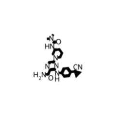 CN(C)C(=O)N[C@@H]1CCCN(c2cnc(C(N)=O)c(Nc3ccc(C4(C#N)CC4)cc3)n2)C1